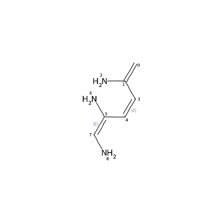 C=C(N)/C=C\C(N)=C/N